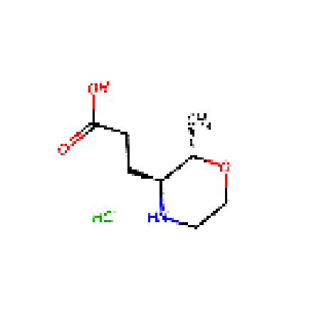 C[C@@H]1OCCN[C@H]1CCC(=O)O.Cl